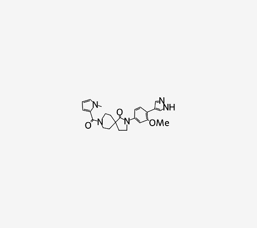 COc1cc(N2CCC3(CCN(C(=O)c4cccn4C)CC3)C2=O)ccc1-c1cn[nH]c1